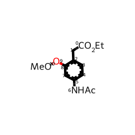 CCOC(=O)Cc1ccc(NC(C)=O)cc1OOC